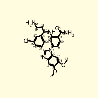 COc1cc2ncn(-c3ccc(C(N)=O)c(NC(CCN)c4cccc(Cl)c4)n3)c2cc1OC